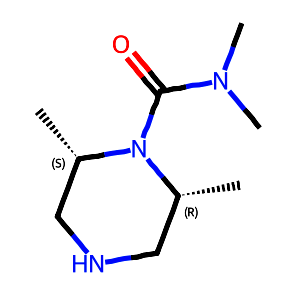 C[C@@H]1CNC[C@H](C)N1C(=O)N(C)C